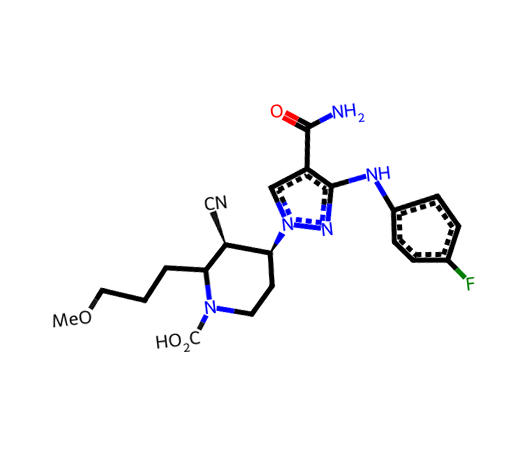 COCCCC1[C@@H](C#N)[C@@H](n2cc(C(N)=O)c(Nc3ccc(F)cc3)n2)CCN1C(=O)O